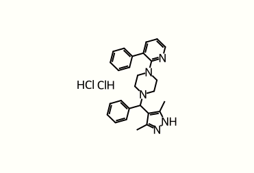 Cc1n[nH]c(C)c1C(c1ccccc1)N1CCN(c2ncccc2-c2ccccc2)CC1.Cl.Cl